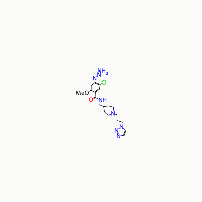 COc1cc(N=NN)c(Cl)cc1C(=O)NCC1CCN(CCCn2ccnn2)CC1